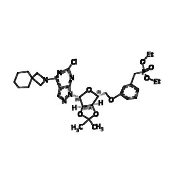 CCOP(=O)(Cc1cccc(OC[C@H]2O[C@@H](n3ncc4c(N5CC6(CCCCC6)C5)nc(Cl)nc43)[C@@H]3OC(C)(C)O[C@@H]32)c1)OCC